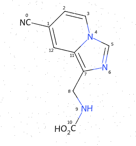 N#Cc1ccn2cnc(CNC(=O)O)c2c1